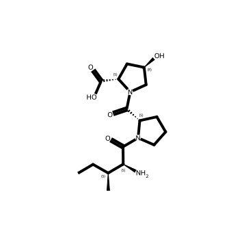 CC[C@H](C)[C@H](N)C(=O)N1CCC[C@H]1C(=O)N1C[C@H](O)C[C@H]1C(=O)O